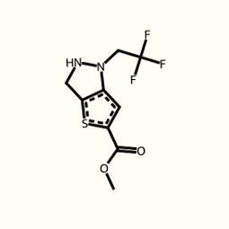 COC(=O)c1cc2c(s1)CNN2CC(F)(F)F